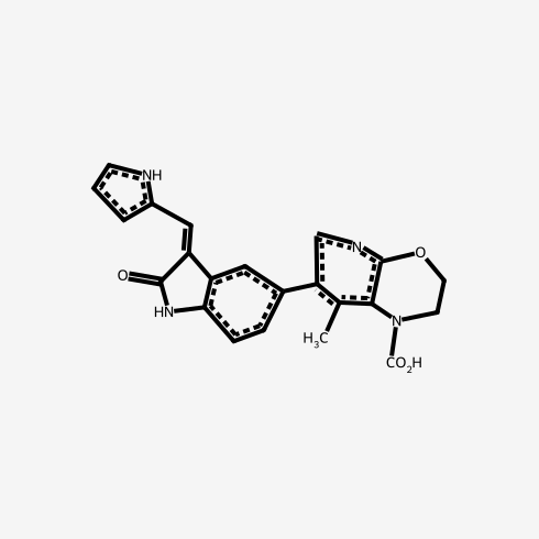 Cc1c(-c2ccc3c(c2)/C(=C/c2ccc[nH]2)C(=O)N3)cnc2c1N(C(=O)O)CCO2